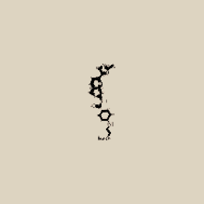 COCCN[C@H]1CC[C@H](C(=O)Nc2cc3nc(-c4cnc(C)o4)ccc3cn2)CC1